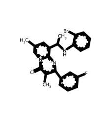 Cc1cc(C(C)Nc2ccccc2Br)c2nc(-c3cccc(F)c3)c(C)c(=O)n2c1